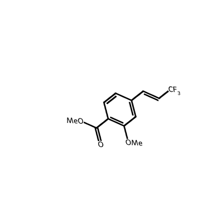 COC(=O)c1ccc(C=CC(F)(F)F)cc1OC